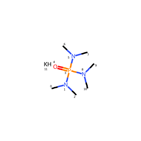 CN(C)P(=O)(N(C)C)N(C)C.[KH]